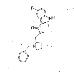 Cc1[nH]c2ccc(F)cc2c1C(=O)NCC1CCCN1Cc1ccccc1